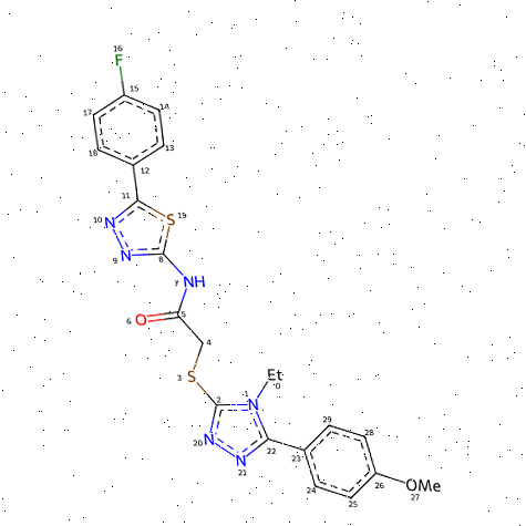 CCn1c(SCC(=O)Nc2nnc(-c3ccc(F)cc3)s2)nnc1-c1ccc(OC)cc1